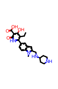 CCc1c(-c2ccc3c(c2)cc(CNC2CCNCC2)n3C)[nH]c(=O)c(C(=O)O)c1O